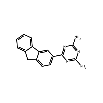 Nc1nc(N)nc(-c2ccc3c(c2)-c2ccccc2C3)n1